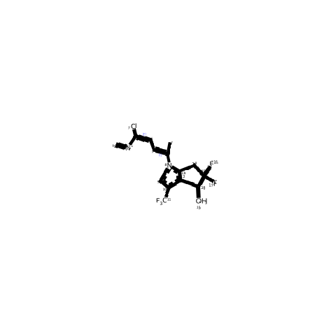 C=N/C(Cl)=C\C=C(/C)n1cc(C(F)(F)F)c2c1CC(F)(F)C2O